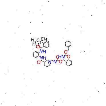 CC(C)(C)c1ccccc1C(=O)Nc1ccccc1NC(=O)C1CCCN(C=NC(=O)OC(NC(=O)OCc2ccccc2)c2ccccc2)C1